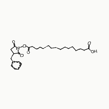 O=C(O)CCCCCCCCCCCCCCC(=O)ON1C(=O)CC(Cc2ccccc2)C1=O